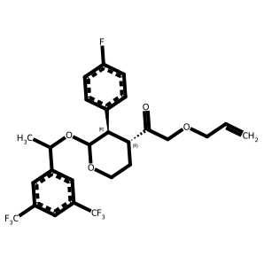 C=CCOCC(=O)[C@@H]1CCOC(OC(C)c2cc(C(F)(F)F)cc(C(F)(F)F)c2)[C@H]1c1ccc(F)cc1